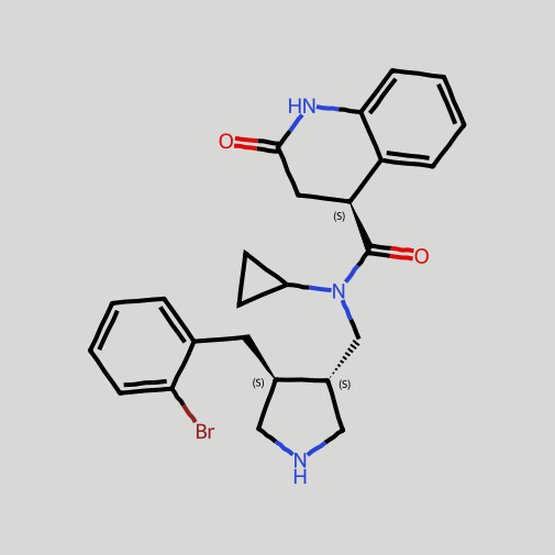 O=C1C[C@H](C(=O)N(C[C@@H]2CNC[C@H]2Cc2ccccc2Br)C2CC2)c2ccccc2N1